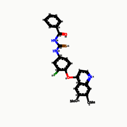 COc1cc2nccc(Oc3ccc(NC(=S)NC(=O)c4ccccc4)cc3F)c2cc1OC